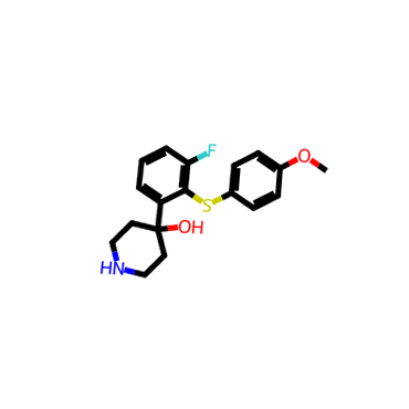 COc1ccc(Sc2c(F)cccc2C2(O)CCNCC2)cc1